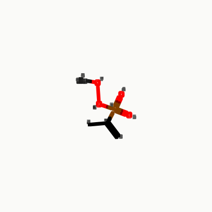 C=C(C)S(=O)(=O)OOC(C)(C)C